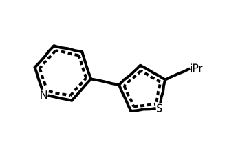 CC(C)c1cc(-c2cccnc2)cs1